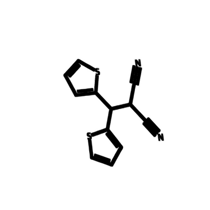 N#CC(C#N)C(c1cccs1)c1cccs1